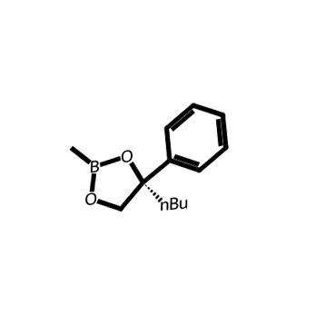 CCCC[C@]1(c2ccccc2)COB(C)O1